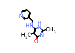 Cc1nc(=O)c(C)c(NCc2cccnc2)[nH]1